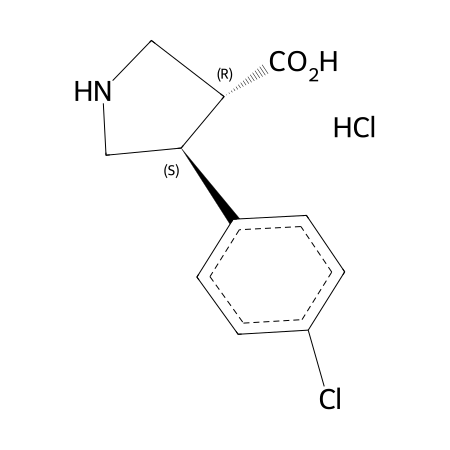 Cl.O=C(O)[C@H]1CNC[C@@H]1c1ccc(Cl)cc1